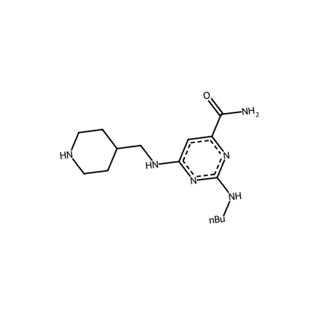 CCCCNc1nc(NCC2CCNCC2)cc(C(N)=O)n1